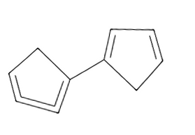 C1=C=C(C2=CC=CC2)CC=1